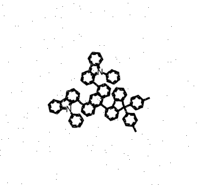 Cc1ccc(C2(c3ccc(C)cc3)c3ccccc3-c3c(-c4c5cccc(-c6cccc7c8ccccc8n(-c8ccccc8)c67)c5cc5c(-c6cccc7c8ccccc8n(-c8ccccc8)c67)cccc45)cccc32)cc1